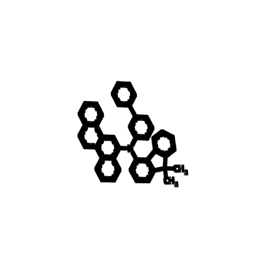 CC1(C)c2ccccc2-c2c(N(c3cccc(-c4ccccc4)c3)c3cc4c5ccccc5ccc4c4ccccc34)cccc21